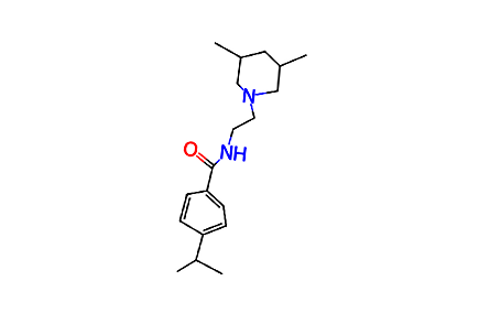 CC1CC(C)CN(CCNC(=O)c2ccc(C(C)C)cc2)C1